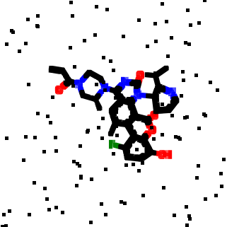 C=CC(=O)N1CCN(c2nc(=O)n(-c3c(C)ccnc3C(C)C)c3c2cc(C)c2c4c(F)ccc(O)c4oc(=O)c23)[C@@H](C)C1